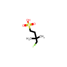 CC(C)(CF)CCS(=O)(=O)O